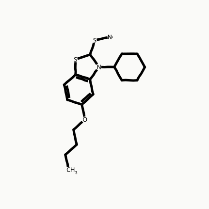 CCCCOc1ccc2c(c1)N(C1CCCCC1)C(S[N])S2